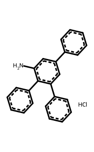 Cl.Nc1cc(-c2ccccc2)cc(-c2ccccc2)c1-c1ccccc1